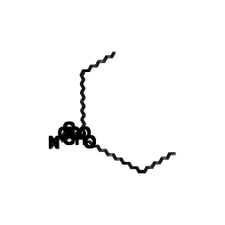 CCCCCCCC/C=C\CCCCCCCCCCCCOC[C@H](COP(=O)(O)OCC[N+](C)(C)C)OCCCCCCCCCCCC/C=C\CCCCCCCC